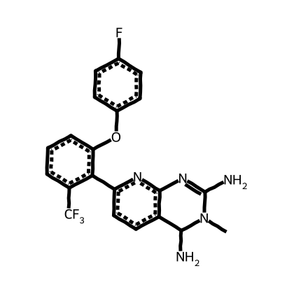 CN1C(N)=Nc2nc(-c3c(Oc4ccc(F)cc4)cccc3C(F)(F)F)ccc2C1N